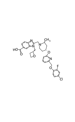 C[C@H]1C[C@H](Oc2cccc(COc3ccc(Cl)cc3F)n2)CCN1Cc1nc2ccc(C(=O)O)cc2n1C[C@@H]1CCO1